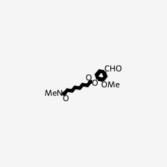 CNC(=O)CCCCCCC(=O)Oc1ccc(C=O)cc1OC